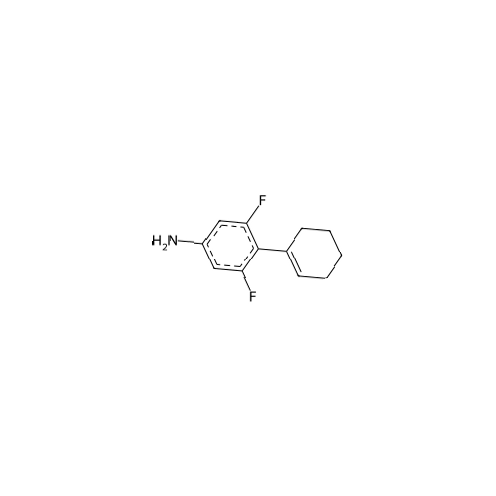 Nc1cc(F)c(C2=CCCCC2)c(F)c1